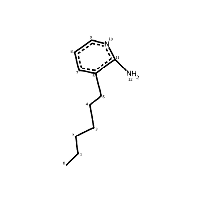 CCCCCCc1cccnc1N